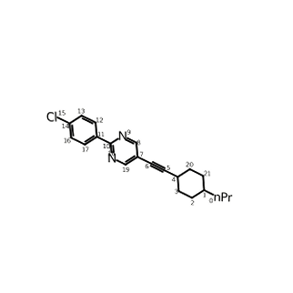 CCCC1CCC(C#Cc2cnc(-c3ccc(Cl)cc3)nc2)CC1